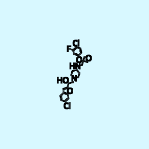 OC(CN1CCC(NCC2(Oc3ccc(Cl)c(F)c3)COC2)CC1)c1cc2ccc(Cl)cc2o1